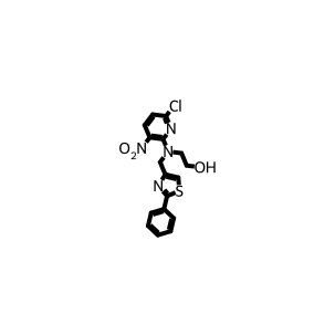 O=[N+]([O-])c1ccc(Cl)nc1N(CCO)Cc1csc(-c2ccccc2)n1